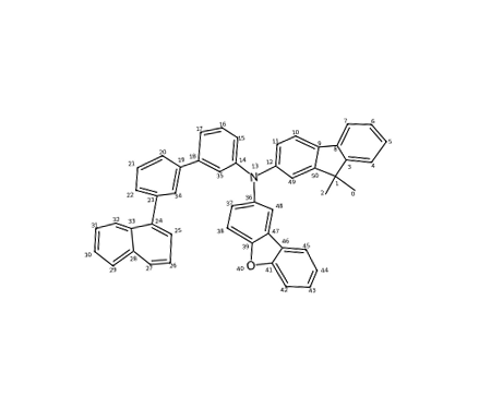 CC1(C)c2ccccc2-c2ccc(N(c3cccc(-c4cccc(-c5cccc6ccccc56)c4)c3)c3ccc4oc5ccccc5c4c3)cc21